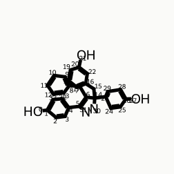 Oc1ccc(C2=C(Cc3ccccc3)C(Cc3cccc(O)c3)(c3ccc(O)cc3)N=N2)cc1